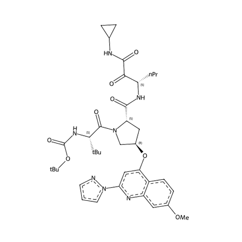 CCC[C@H](NC(=O)[C@@H]1C[C@@H](Oc2cc(-n3cccn3)nc3cc(OC)ccc23)CN1C(=O)[C@@H](NC(=O)OC(C)(C)C)C(C)(C)C)C(=O)C(=O)NC1CC1